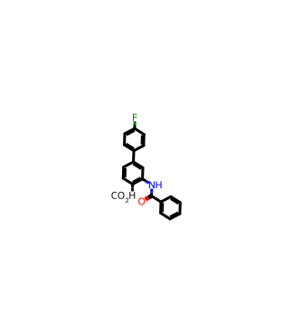 O=C(Nc1cc(-c2ccc(F)cc2)ccc1C(=O)O)c1ccccc1